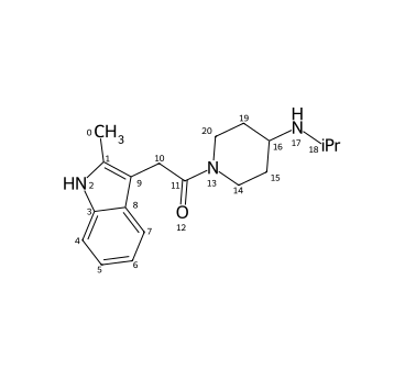 Cc1[nH]c2ccccc2c1CC(=O)N1CCC(NC(C)C)CC1